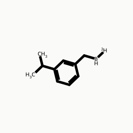 [2H]BCc1cccc(C(C)C)c1